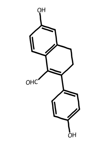 O=CC1=C(c2ccc(O)cc2)CCc2cc(O)ccc21